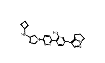 Oc1cc(-c2cnn3c2CCC3)ccc1-c1ccc(N2CCC(NC3CCC3)C2)nn1